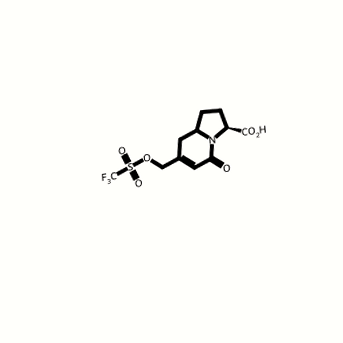 O=C(O)[C@@H]1CCC2CC(COS(=O)(=O)C(F)(F)F)=CC(=O)N21